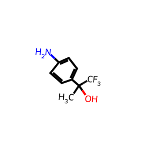 CC(O)(c1ccc(N)cc1)C(F)(F)F